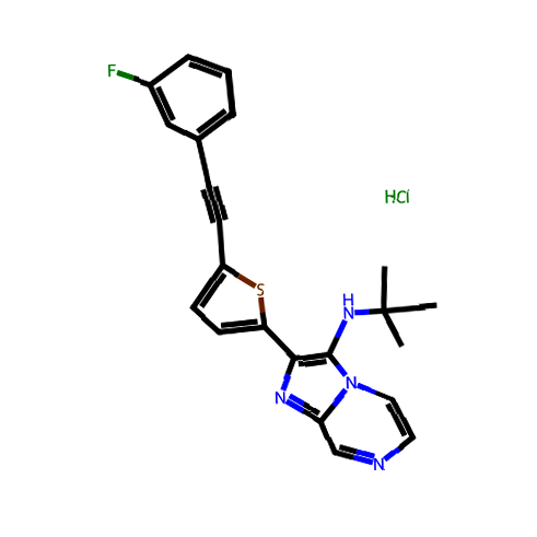 CC(C)(C)Nc1c(-c2ccc(C#Cc3cccc(F)c3)s2)nc2cnccn12.Cl